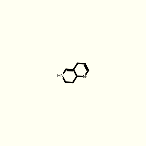 C1=C[N]C2CCNC=C2C1